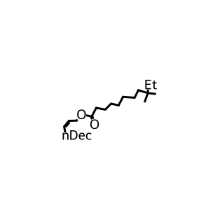 CCCCCCCCCC/C=C\COC(=O)CCCCCCCC(C)(C)CC